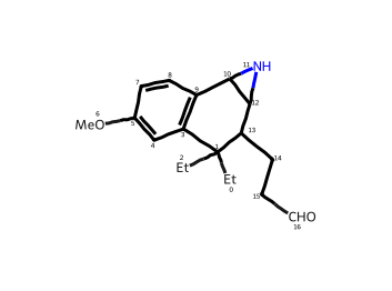 CCC1(CC)c2cc(OC)ccc2C2NC2C1CCC=O